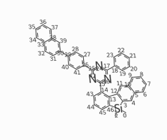 C[Si]1(C)c2cc3ccccc3cc2-c2c(-c3nc(-c4ccccc4)nc(-c4ccc(-c5ccc6ccccc6c5)cc4)n3)cccc21